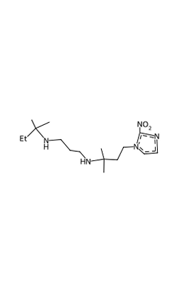 CCC(C)(C)NCCCNC(C)(C)CCn1ccnc1[N+](=O)[O-]